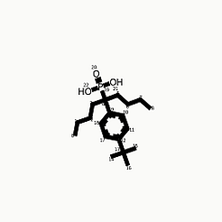 CCCCC(CCCC)(c1ccc(C(C)(C)C)cc1)P(=O)(O)O